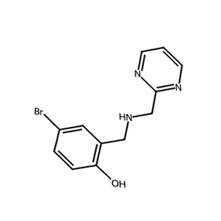 Oc1ccc(Br)cc1CNCc1ncccn1